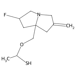 C=C1CN2CC(F)CC2(COC(C)S)C1